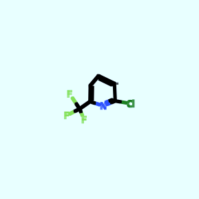 FC(F)(F)c1cc[c]c(Cl)n1